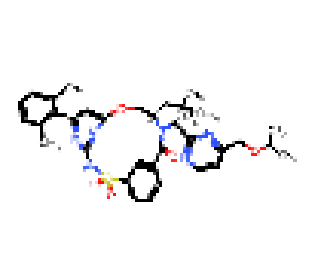 Cc1cccc(C)c1-c1cc2nc(n1)NS(=O)(=O)c1cccc(c1)C(=O)N(Cc1nccc(COC(C)C)n1)[C@H](CC(C)(C)C)CO2